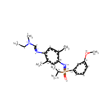 CCN(C)/C=N/c1cc(C)c(N=S(=O)(c2cccc(OC)c2)C(C)C)cc1C